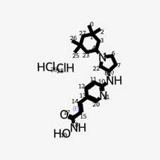 CC1(C)CC(N2CC[C@@H](Nc3ccc(/C=C/C(=O)NO)cn3)C2)CC(C)(C)C1.Cl.Cl